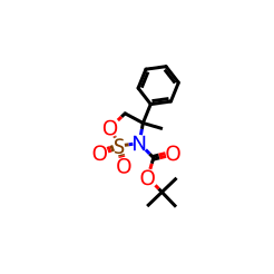 CC(C)(C)OC(=O)N1C(C)(c2ccccc2)COS1(=O)=O